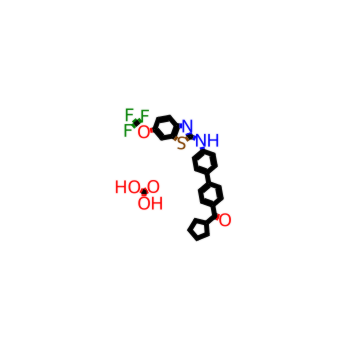 O=C(O)O.O=C(c1ccc(-c2ccc(Nc3nc4ccc(OC(F)(F)F)cc4s3)cc2)cc1)C1CCCC1